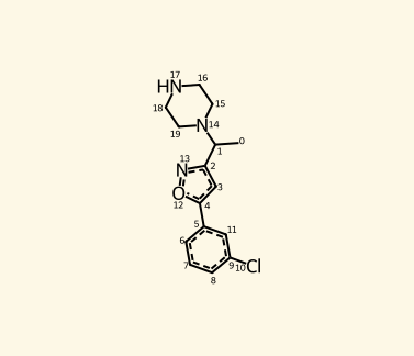 CC(c1cc(-c2cccc(Cl)c2)on1)N1CCNCC1